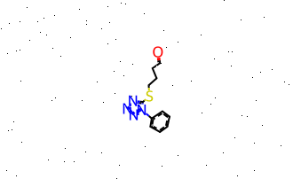 O=CCCCSc1nnnn1-c1ccccc1